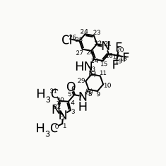 CCn1cc(C(=O)N[C@@H]2CCC[C@H](Nc3cc(C(F)(F)F)nc4ccc(Cl)cc34)C2)c(C)n1